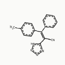 Cc1ccc(C(=C(C#N)c2nnn[nH]2)c2ccccc2)cc1